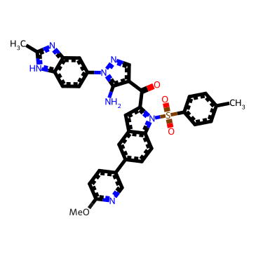 COc1ccc(-c2ccc3c(c2)cc(C(=O)c2cnn(-c4ccc5[nH]c(C)nc5c4)c2N)n3S(=O)(=O)c2ccc(C)cc2)cn1